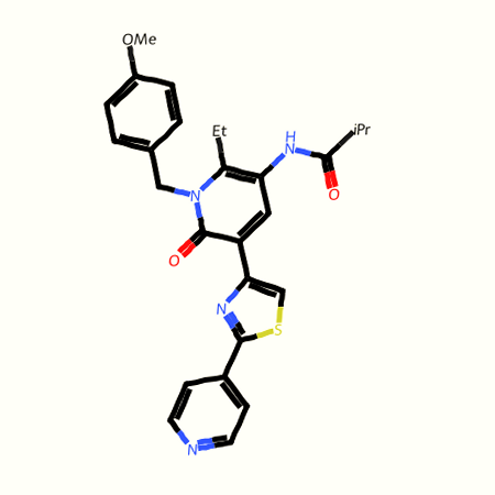 CCc1c(NC(=O)C(C)C)cc(-c2csc(-c3ccncc3)n2)c(=O)n1Cc1ccc(OC)cc1